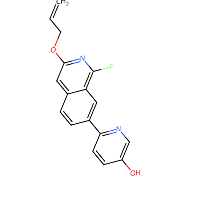 C=CCOc1cc2ccc(-c3ccc(O)cn3)cc2c(F)n1